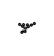 c1ccc(-c2ccc(-c3ccc(-c4nc(-c5ccc(-c6ccccc6)c6ccccc56)nc(-c5cccc6c5sc5ccccc56)n4)c4ccccc34)cc2)cc1